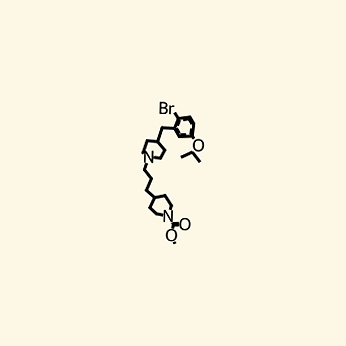 COC(=O)N1CCC(CCCN2CCC(Cc3cc(OC(C)C)ccc3Br)CC2)CC1